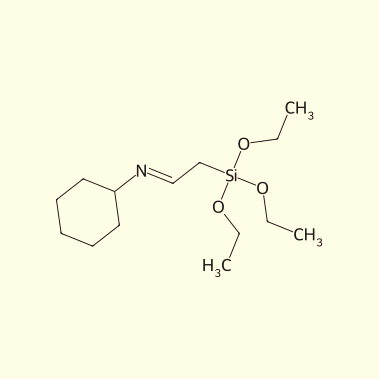 CCO[Si](CC=NC1CCCCC1)(OCC)OCC